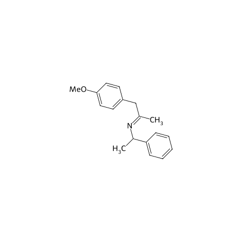 COc1ccc(CC(C)=NC(C)c2ccccc2)cc1